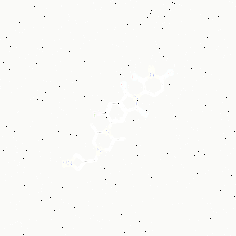 CC1CN(CC2CNC2)CC(C)N1c1cc2c(cc1F)C(=O)N(C1CCC(=O)NC1=O)C2=O